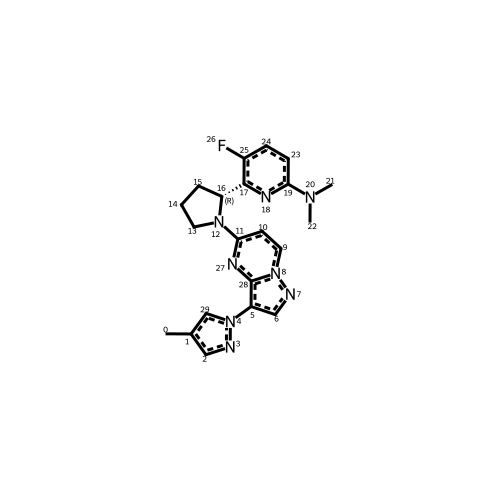 Cc1cnn(-c2cnn3ccc(N4CCC[C@@H]4c4nc(N(C)C)ccc4F)nc23)c1